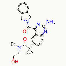 CCN(CCO)C(=O)C1(c2ccc3nc(N)nc(C(=O)N4Cc5ccccc5C4)c3c2)CC1